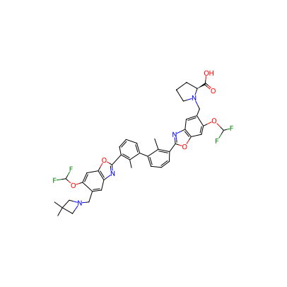 Cc1c(-c2nc3cc(CN4CC(C)(C)C4)c(OC(F)F)cc3o2)cccc1-c1cccc(-c2nc3cc(CN4CCC[C@H]4C(=O)O)c(OC(F)F)cc3o2)c1C